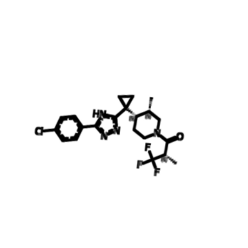 C[C@@H]1CN(C(=O)[C@H](C)C(F)(F)F)CC[C@@H]1C1(c2nnc(-c3ccc(Cl)cc3)[nH]2)CC1